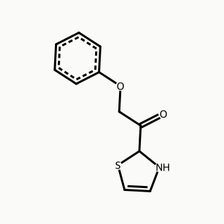 O=C(COc1ccccc1)C1NC=CS1